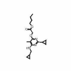 CCCCOC(=O)COc1nc(C2CC2)nc(NCC2CC2)c1C